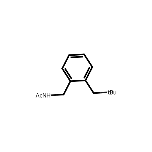 CC(=O)NCc1ccccc1CC(C)(C)C